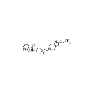 Cc1ncccc1C(=O)N[C@H]1CC[C@](F)(CCN2CCc3nc(OCC(F)(F)F)sc3CC2)CC1